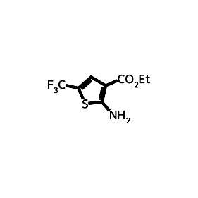 CCOC(=O)c1cc(C(F)(F)F)sc1N